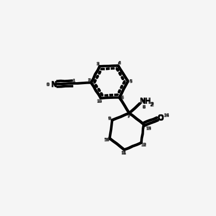 N#Cc1cccc(C2(N)CCCCC2=O)c1